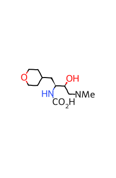 CNC[C@H](O)[C@H](CC1CCOCC1)NC(=O)O